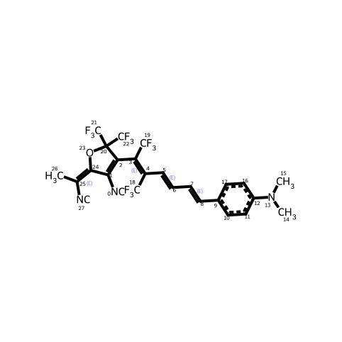 [C-]#[N+]C1=C(C(=C(/C=C/C=C/c2ccc(N(C)C)cc2)C(F)(F)F)/C(F)(F)F)C(C(F)(F)F)(C(F)(F)F)O/C1=C(\C)[N+]#[C-]